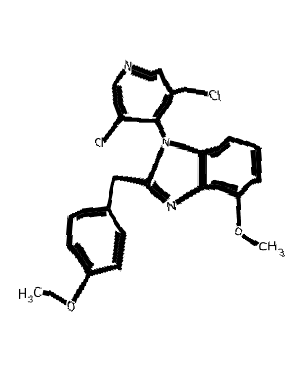 COc1ccc(Cc2nc3c(OC)cccc3n2-c2c(Cl)cncc2Cl)cc1